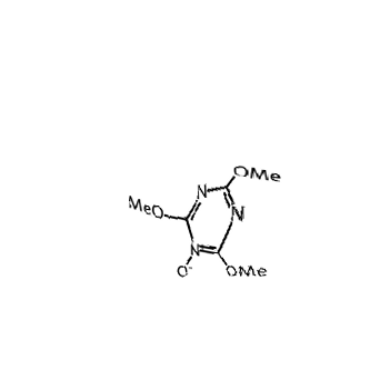 COc1nc(OC)[n+]([O-])c(OC)n1